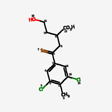 Cc1c(Cl)cc(C(=S)CC(CCO)C(=O)O)cc1Cl